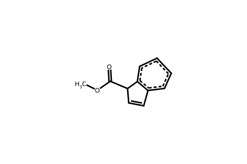 COC(=O)C1C=Cc2ccccc21